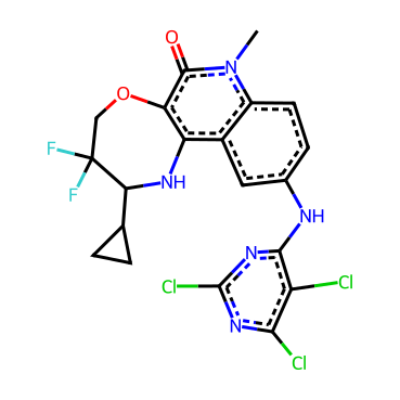 Cn1c(=O)c2c(c3cc(Nc4nc(Cl)nc(Cl)c4Cl)ccc31)NC(C1CC1)C(F)(F)CO2